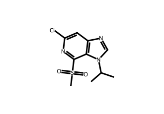 CC(C)n1cnc2cc(Cl)nc(S(C)(=O)=O)c21